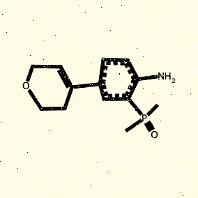 CP(C)(=O)c1cc(C2=CCOCC2)ccc1N